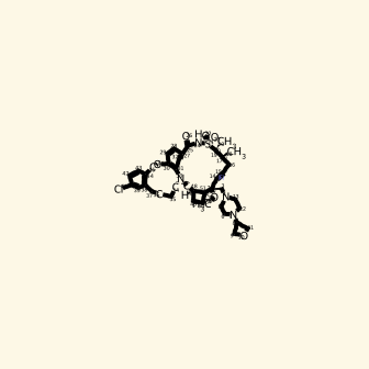 CO[C@@]1(CN2CCN(C3COC3)CC2)/C=C/C[C@H](C)[C@@H](C)S(=O)(=O)NC(=O)c2ccc3c(c2)N(CCCCc2cc(Cl)ccc2CO3)C[C@@H]2CC[C@H]21